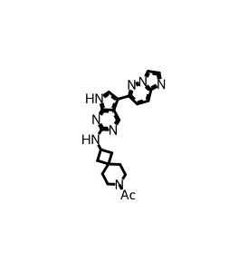 CC(=O)N1CCC2(CC1)CC(Nc1ncc3c(-c4ccc5nccn5n4)c[nH]c3n1)C2